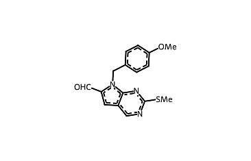 COc1ccc(Cn2c(C=O)cc3cnc(SC)nc32)cc1